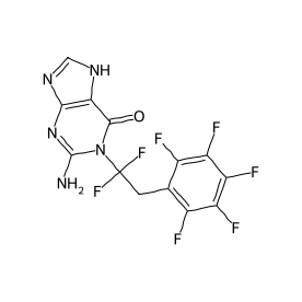 Nc1nc2nc[nH]c2c(=O)n1C(F)(F)Cc1c(F)c(F)c(F)c(F)c1F